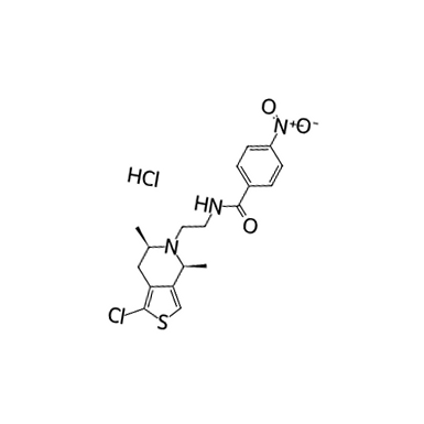 C[C@@H]1Cc2c(csc2Cl)[C@H](C)N1CCNC(=O)c1ccc([N+](=O)[O-])cc1.Cl